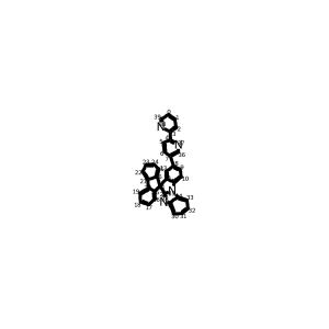 c1ccc(-c2ccc(-c3ccc4c(c3)C3(c5ccccc5-c5ccccc53)c3nc5ccccc5n3-4)cn2)nc1